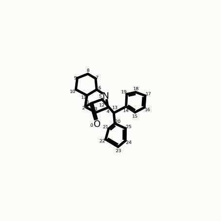 O=C1C2CCN(C3CCCCC23)C1C(c1ccccc1)c1ccccc1